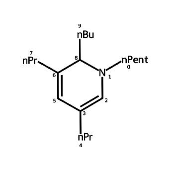 CCCCCN1C=C(CCC)C=C(CCC)C1CCCC